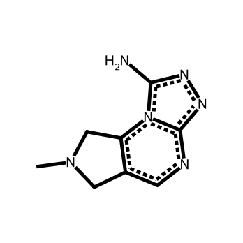 CN1Cc2cnc3nnc(N)n3c2C1